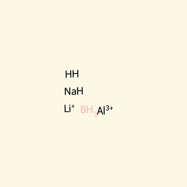 B.[Al+3].[HH].[Li+].[NaH]